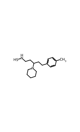 Cc1ccc(CCC(CCNS)N2CCCCC2)cc1